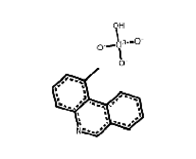 Cc1cccc2ncc3ccccc3c12.[O-][Cl+3]([O-])([O-])O